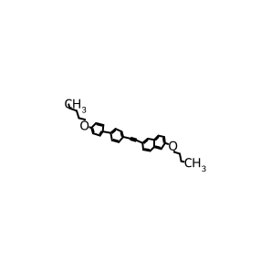 CCCCCOc1ccc(-c2ccc(C#Cc3ccc4cc(OCCCC)ccc4c3)cc2)cc1